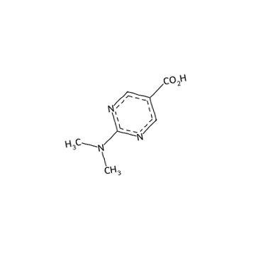 CN(C)c1ncc(C(=O)O)cn1